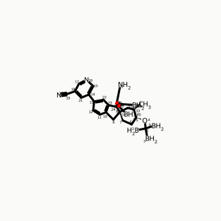 BC(B)(B)O[C@@H]1CC[C@]2(Cc3ccc(-c4cncc(C#N)c4)cc3[C@]23N=C(N)OC3(B)B)C[C@H]1C